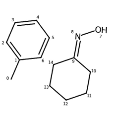 Cc1ccccc1.ON=C1CCCCC1